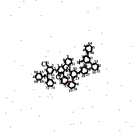 Clc1cc(-c2cc3c4ccccc4n(-c4cc(-c5ccccc5)cc(-c5ccc(-c6ccccc6-c6cc(I)cc(-c7ccccc7)c6)cc5)c4)c3c3c2oc2ccccc23)cc(N(c2ccccc2)c2ccccc2)c1